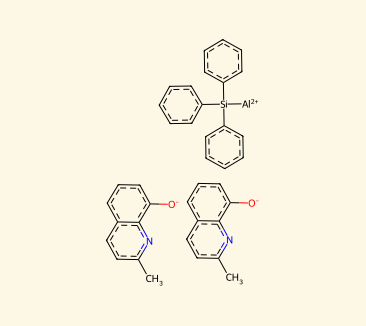 Cc1ccc2cccc([O-])c2n1.Cc1ccc2cccc([O-])c2n1.[Al+2][Si](c1ccccc1)(c1ccccc1)c1ccccc1